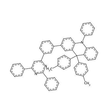 Cc1ccc(C2(c3ccc(C)cc3)c3ccccc3N(c3ccccc3)c3ccc(-c4cccc(-c5cc(-c6ccccc6)nc(-c6ccccc6)n5)c4)cc32)cc1